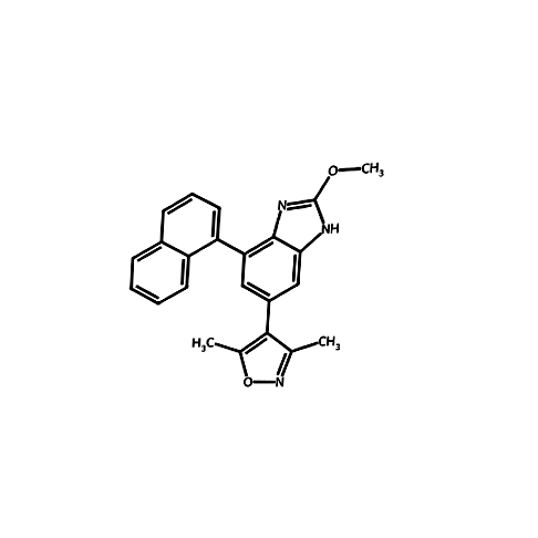 COc1nc2c(-c3cccc4ccccc34)cc(-c3c(C)noc3C)cc2[nH]1